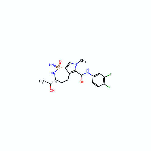 CC(O)[C@H]1CCc2c(cn(C)c2C(O)Nc2ccc(F)c(F)c2)S(=N)(=O)N1